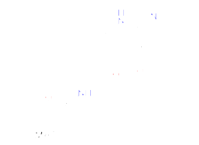 COCC(=O)Nc1ccc2c(c1)[C@]1(CCO2)CS(=O)(=O)C(C)(C)C(=N)N1